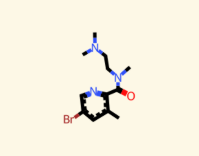 Cc1cc(Br)cnc1C(=O)N(C)CCN(C)C